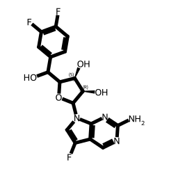 Nc1ncc2c(F)cn(C3OC(C(O)c4ccc(F)c(F)c4)[C@@H](O)[C@H]3O)c2n1